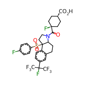 O=C(O)[C@H]1CC[C@](F)(C(=O)N2CCC3(S(=O)(=O)c4ccc(F)cc4)c4ccc(C(F)(C(F)(F)F)C(F)(F)F)cc4CCC23)CC1